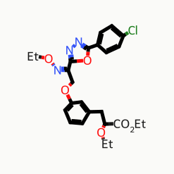 CCON=C(COc1cccc(CC(OCC)C(=O)OCC)c1)c1nnc(-c2ccc(Cl)cc2)o1